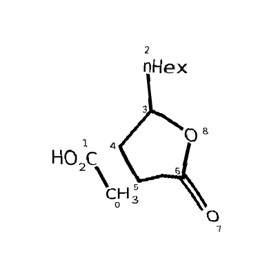 CC(=O)O.CCCCCCC1CCC(=O)O1